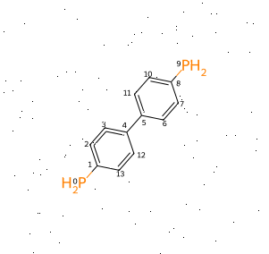 PC1=C=C=C(c2ccc(P)cc2)C=C1